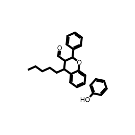 CCCCCC1c2ccccc2OC(c2ccccc2)C1C=O.Oc1ccccc1